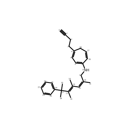 C#CCCC1=CC=C(NC/C(C)=C\C(C)=C(/C)C(C)(C)c2ccccc2)C=CC1